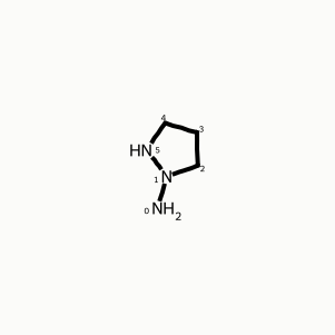 NN1CCCN1